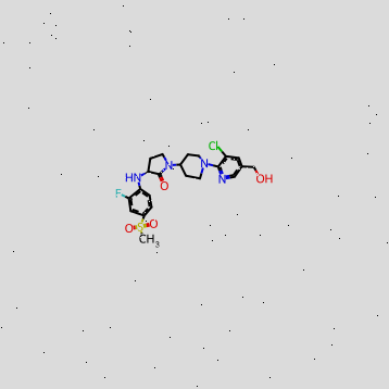 CS(=O)(=O)c1ccc(N[C@H]2CCN(C3CCN(c4ncc(CO)cc4Cl)CC3)C2=O)c(F)c1